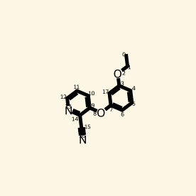 CCOc1cccc(Oc2cccnc2C#N)c1